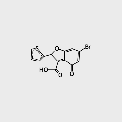 O=C(O)C1=C2C(=O)C=C(Br)C=C2OC1c1cccs1